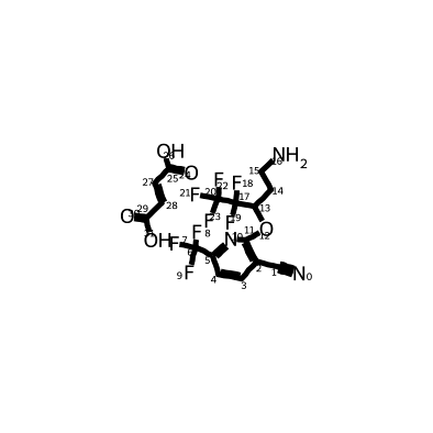 N#Cc1ccc(C(F)(F)F)nc1OC(CCN)C(F)(F)C(F)(F)F.O=C(O)C=CC(=O)O